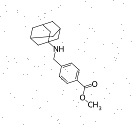 COC(=O)c1ccc(CNC23CC4CC(CC(C4)C2)C3)cc1